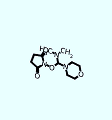 CN(C)C(ON1C(=O)CCC1=O)N1CCOCC1